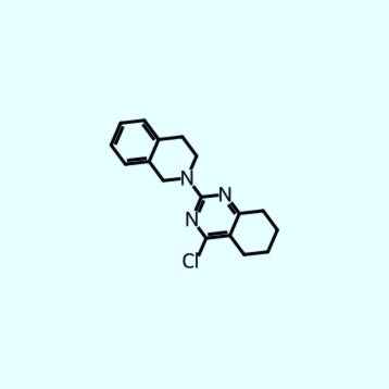 Clc1nc(N2CCc3ccccc3C2)nc2c1CCCC2